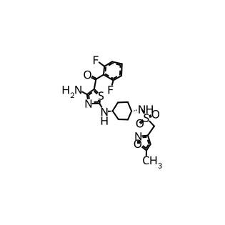 Cc1cc(CS(=O)(=O)N[C@H]2CC[C@H](Nc3nc(N)c(C(=O)c4c(F)cccc4F)s3)CC2)no1